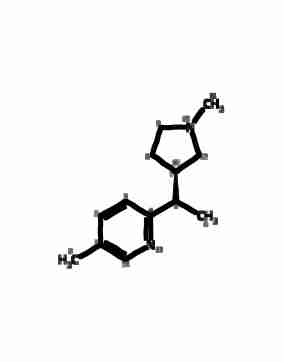 Cc1ccc(C(C)[C@H]2CCN(C)C2)nc1